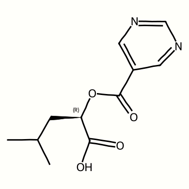 CC(C)C[C@@H](OC(=O)c1cncnc1)C(=O)O